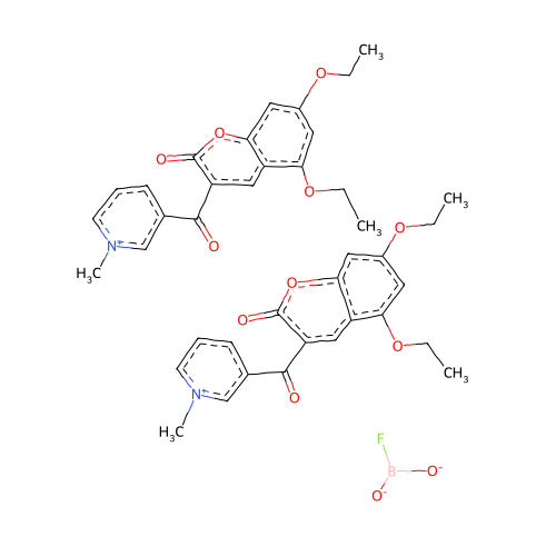 CCOc1cc(OCC)c2cc(C(=O)c3ccc[n+](C)c3)c(=O)oc2c1.CCOc1cc(OCC)c2cc(C(=O)c3ccc[n+](C)c3)c(=O)oc2c1.[O-]B([O-])F